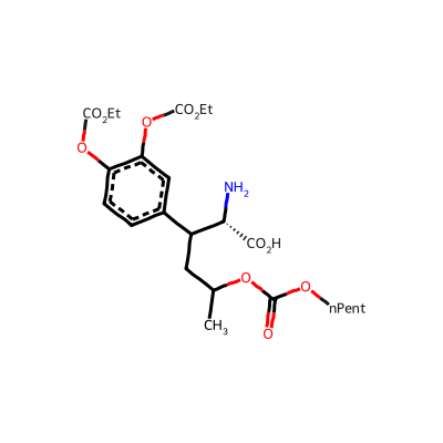 CCCCCOC(=O)OC(C)CC(c1ccc(OC(=O)OCC)c(OC(=O)OCC)c1)[C@H](N)C(=O)O